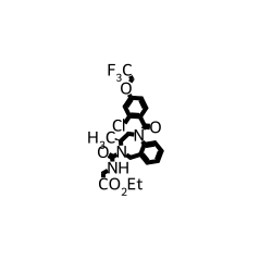 CCOC(=O)CNC(=O)N1Cc2ccccc2N(C(=O)c2ccc(OCC(F)(F)F)cc2Cl)C[C@H]1C